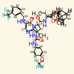 CC[C@H](NC(=O)[C@@H]1C[C@@](C)(NC(=O)Nc2ccc(OC(F)(F)F)cc2)c2ncc(NCc3cccc(C(F)(F)F)c3)c(=O)n21)B1O[C@@H]2C[C@@H]3C[C@@H](C3(C)C)[C@]2(C)O1